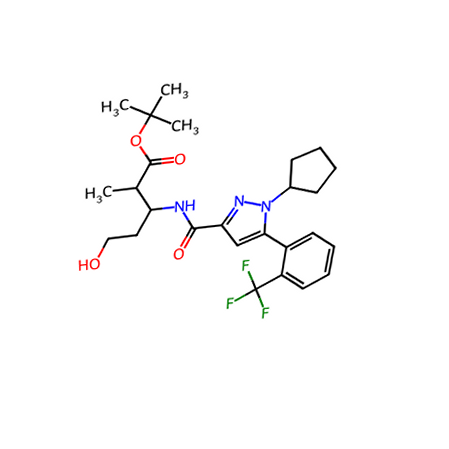 CC(C(=O)OC(C)(C)C)C(CCO)NC(=O)c1cc(-c2ccccc2C(F)(F)F)n(C2CCCC2)n1